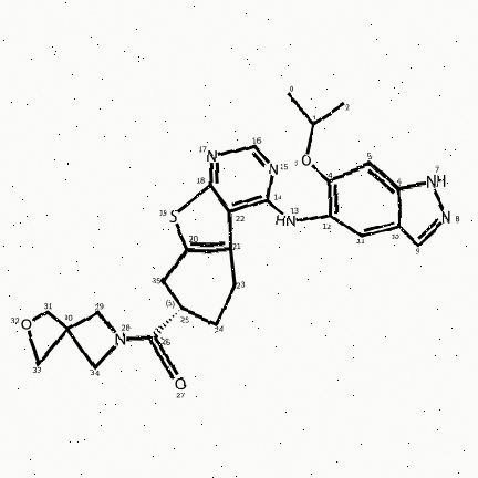 CC(C)Oc1cc2[nH]ncc2cc1Nc1ncnc2sc3c(c12)CC[C@H](C(=O)N1CC2(COC2)C1)C3